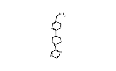 NCc1ccc(C2CCN(c3cnccn3)CC2)cc1